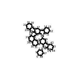 c1ccc(-n2c3ccc(-n4c5ccccc5c5cc6c7ccccc7n7c8ccc9ccccc9c8c(c54)c67)cc3c3cccnc32)cc1